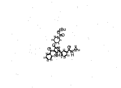 CC(C)(C)OC(=O)N1CCC(Oc2nn(-c3cccc(C(=O)NC4CC4)c3)c(N)c2C(=O)c2ccccc2)CC1